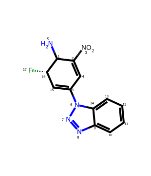 NC1C([N+](=O)[O-])=CC(n2nnc3ccccc32)=C[C@@H]1F